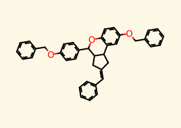 C(=C1CC2c3cc(OCc4ccccc4)ccc3OC(c3ccc(OCc4ccccc4)cc3)C2C1)c1ccccc1